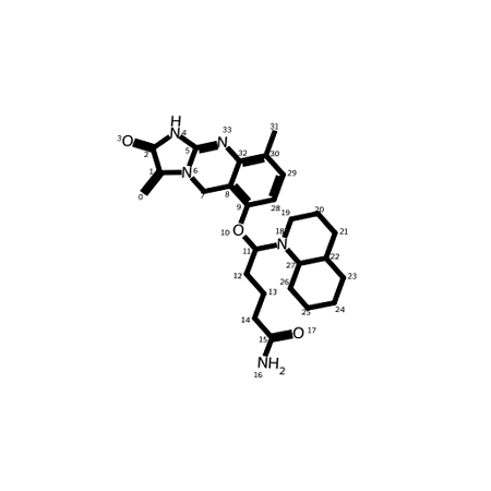 C=c1c(=O)[nH]c2n1Cc1c(OC(CCCC(N)=O)N3CCCC4CCCCC43)ccc(C)c1N=2